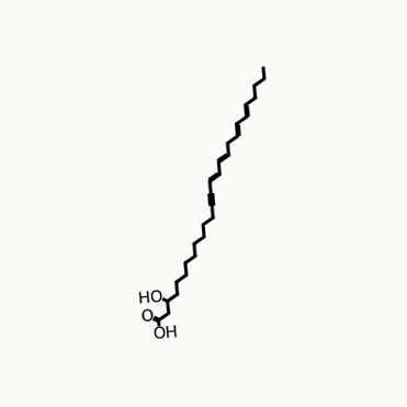 CCCCC=CC=CCC=CC=CC#CCCCCCCCCCC(O)CC(=O)O